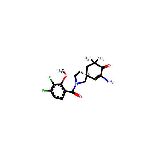 COc1c(C(=O)N2CC[C@]3(C=C(N)C(=O)C(C)(C)C3)C2)ccc(F)c1F